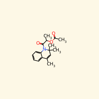 CC(=O)OC(C)C(=O)N1c2ccccc2C(C)=CC1(C)C